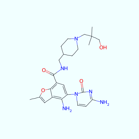 Cc1cc2c(N)c(-n3ccc(N)nc3=O)cc(C(=O)NCC3CCN(CC(C)(C)CO)CC3)c2o1